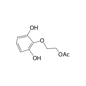 CC(=O)OCCOc1c(O)cccc1O